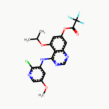 COc1cnc(Cl)c(Nc2ncnc3cc(OC(=O)C(F)(F)F)cc(OC(C)C)c23)c1